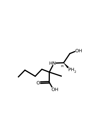 CCCCC(C)(N[C@H](P)CO)C(=O)O